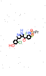 CCCS(=O)(=O)Nc1c(F)ccc(C(=O)c2c[nH]c3ncc(-c4ccc(O)cc4Cl)cc23)c1F